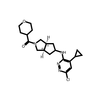 O=C(C1CCOCC1)N1C[C@H]2CC(Nc3nnc(Cl)cc3C3CC3)C[C@H]2C1